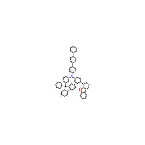 c1ccc(-c2ccc(-c3ccc(N(c4ccc(-c5cccc6c5oc5ccccc56)cc4)c4cccc(C5(c6ccccc6)c6ccccc6-c6ccccc65)c4)cc3)cc2)cc1